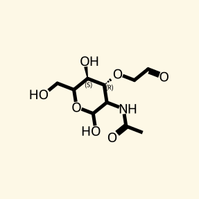 CC(=O)NC1C(O)OC(CO)[C@@H](O)[C@@H]1OCC=O